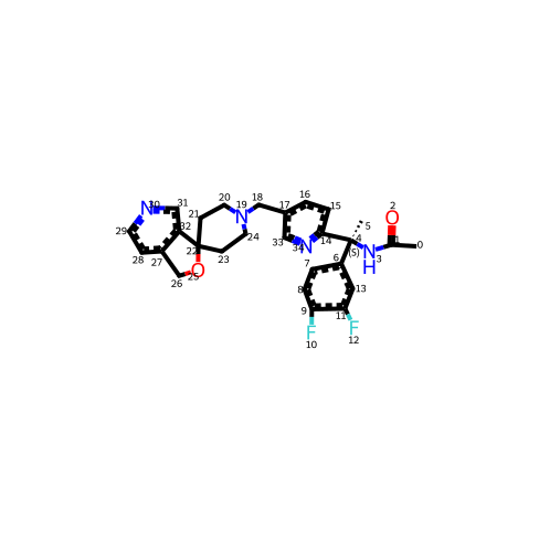 CC(=O)N[C@@](C)(c1ccc(F)c(F)c1)c1ccc(CN2CCC3(CC2)OCc2ccncc23)cn1